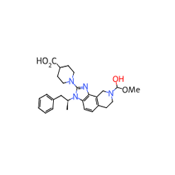 COC(O)N1CCc2ccc3c(nc(N4CCC(C(=O)O)CC4)n3[C@@H](C)Cc3ccccc3)c2C1